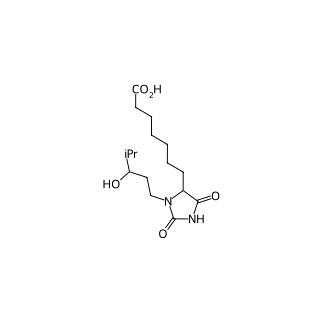 CC(C)C(O)CCN1C(=O)NC(=O)C1CCCCCCC(=O)O